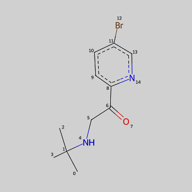 CC(C)(C)NCC(=O)c1ccc(Br)cn1